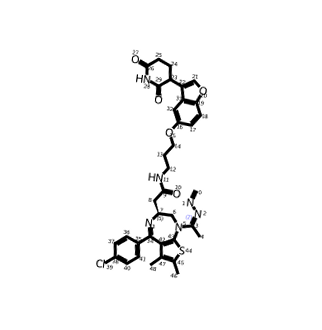 C=N/N=C(/C)N1C[C@H](CC(=O)NCCCOc2ccc3occ(C4CCC(=O)NC4=O)c3c2)N=C(c2ccc(Cl)cc2)c2c1sc(C)c2C